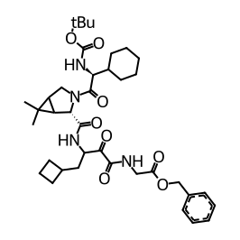 CC(C)(C)OC(=O)N[C@H](C(=O)N1CC2C([C@H]1C(=O)NC(CC1CCC1)C(=O)C(=O)NCC(=O)OCc1ccccc1)C2(C)C)C1CCCCC1